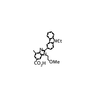 CCn1c2ccccc2c2cc(-c3nc4c(C)cc(C(=O)O)cc4n3CCOC)ccc21